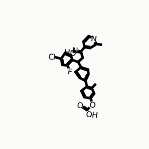 Cc1cc(/C(CC(c2ccc(-c3ccc(OC(=O)O)cc3C)cc2)c2ccc(Cl)cc2F)=N/O)ccn1